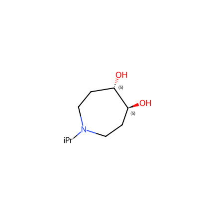 CC(C)N1CC[C@H](O)[C@@H](O)CC1